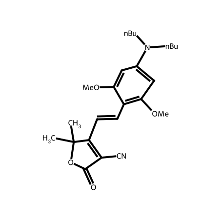 CCCCN(CCCC)c1cc(OC)c(C=CC2=C(C#N)C(=O)OC2(C)C)c(OC)c1